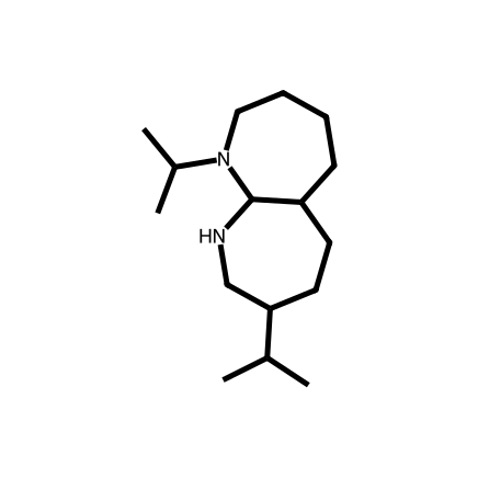 CC(C)C1CCC2CCCCN(C(C)C)C2NC1